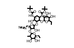 CCC1O[C@H](OC2C(NC(=O)OC(C)(C)C)C[C@@H](NC(=O)OC(C)(C)C)C(O)[C@H]2O[C@@H]2O[C@H](CN=[N+]=[N-])[C@H](O[C@H]3O[C@@H](CC)C(O)C(O)C3C)C2O)C(C)[C@@H](O)C1O